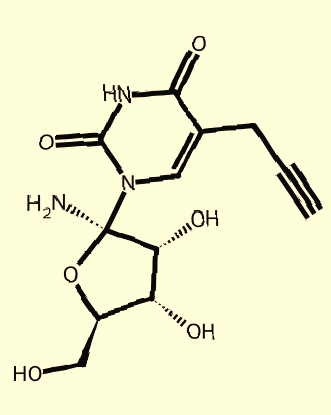 C#CCc1cn([C@]2(N)O[C@H](CO)[C@@H](O)[C@H]2O)c(=O)[nH]c1=O